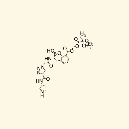 CCOC(C)(C)C(=O)OCOC(=O)c1cccc2c1OB(O)[C@@H](NC(=O)CN1CC(C(=O)N[C@H]3CCNC3)N=N1)C2